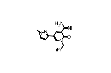 CC(C)Cn1cc(-c2ccn(C)n2)cc(C(=N)N)c1=O